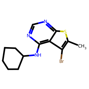 Cc1sc2ncnc(NC3CCCCC3)c2c1Br